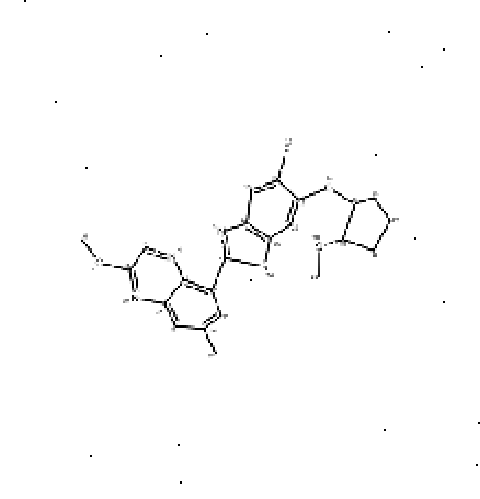 COc1cnc2c(-c3nc4cc(F)c(OC5CCCC5OC)cc4s3)cc(C)cc2n1